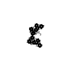 CCc1cccc(C)c1N(c1ccc(C=C(c2ccccc2)c2ccccc2)cc1)c1ccc(-c2ccc(N(c3ccc(C=C(c4ccccc4)c4ccccc4)cc3)c3c(C)cccc3CC)c(C)c2)cc1C